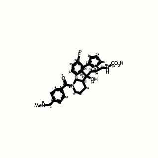 CNCc1ccc(C(=O)N2CCCC(C(O)(CCCNC(=O)O)c3cccc(F)c3-c3cccs3)C2)cc1